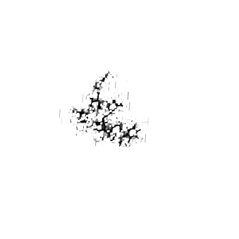 CC1C(O)C(OC2OC(CO)C(OC3OC(COC4OC(CO)C(O)C(O)C4OC4OC(COP(=O)(O)OCCN)C(O)C(O)C4OC4OC(CO)C(O)C(O)C4O)C(O)C(O)C3O)C(O)C2N)C2OP(=O)(O)OC2C1O